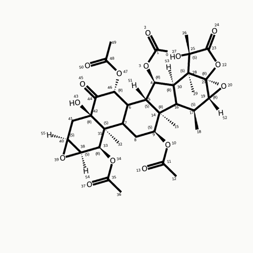 CC(=O)O[C@@H]1[C@H]2C3C(C[C@H](OC(C)=O)[C@]2(C)C2[C@H](C)[C@H]4O[C@]45OC(=O)[C@@](C)(O)[C@]5(C)[C@@H]21)[C@@]1(C)[C@@H](OC(C)=O)[C@H]2O[C@H]2C[C@]1(O)C(=O)[C@@H]3OC(C)=O